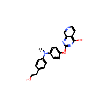 CN(c1ccc(CCO)cc1)c1ccc(Oc2nc(O)c3ccncc3n2)cc1